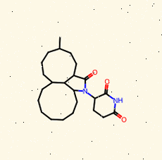 CC1CCCC2CCCCCCCC3C2C(CC1)C(=O)N3C1CCC(=O)NC1=O